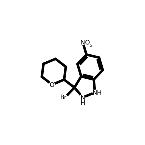 O=[N+]([O-])c1ccc2c(c1)C(Br)(C1CCCCO1)NN2